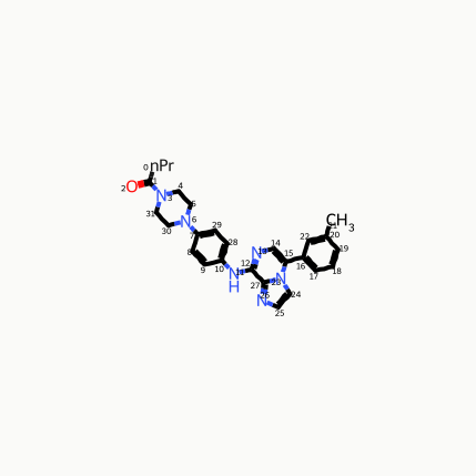 CCCC(=O)N1CCN(c2ccc(Nc3ncc(-c4cccc(C)c4)n4ccnc34)cc2)CC1